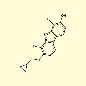 Oc1ccc2c(sc3c(F)c(OCC4CC4)ccc32)c1F